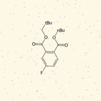 CCCCOC(=O)c1ccc(F)cc1C(=O)OCC(C)(C)C